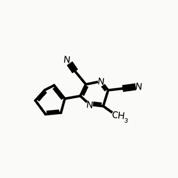 Cc1nc(-c2ccccc2)c(C#N)nc1C#N